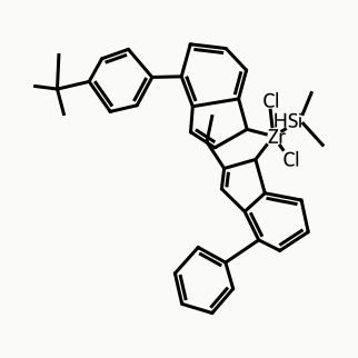 CCC1=Cc2c(-c3ccccc3)cccc2[CH]1[Zr]([Cl])([Cl])([CH]1C=Cc2c(-c3ccc(C(C)(C)C)cc3)cccc21)[SiH](C)C